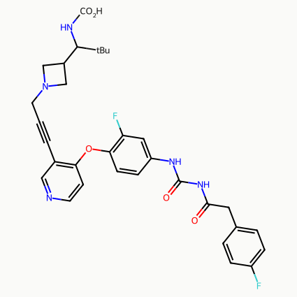 CC(C)(C)C(NC(=O)O)C1CN(CC#Cc2cnccc2Oc2ccc(NC(=O)NC(=O)Cc3ccc(F)cc3)cc2F)C1